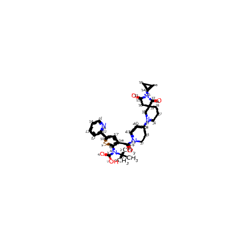 CC(C)(C)N(C(=O)O)c1sc(-c2ccccn2)cc1C(=O)N1CCC(N2CCCC3(CC(=O)N(C4CC4)C3=O)C2)CC1